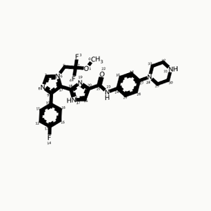 COC(F)(F)Cn1cnc(-c2ccc(F)cc2)c1-c1nc(C(=O)Nc2ccc(N3CCNCC3)cc2)c[nH]1